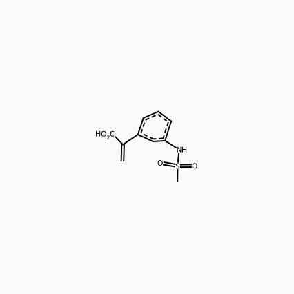 C=C(C(=O)O)c1cccc(NS(C)(=O)=O)c1